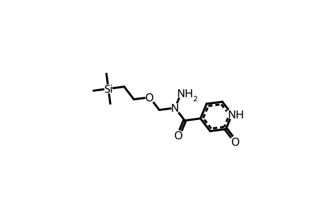 C[Si](C)(C)CCOCN(N)C(=O)c1cc[nH]c(=O)c1